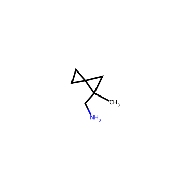 CC1(CN)CC12CC2